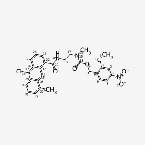 COc1cc([N+](=O)[O-])ccc1COC(=O)N(C)CCNC(=O)c1cccc2c(Cl)c3cccc(C)c3nc12